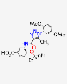 CCC[C@H](CC)Oc1ccc(C(=O)O)cc1NC(=O)c1nnn(-c2cc(OC)ccc2OC)c1C